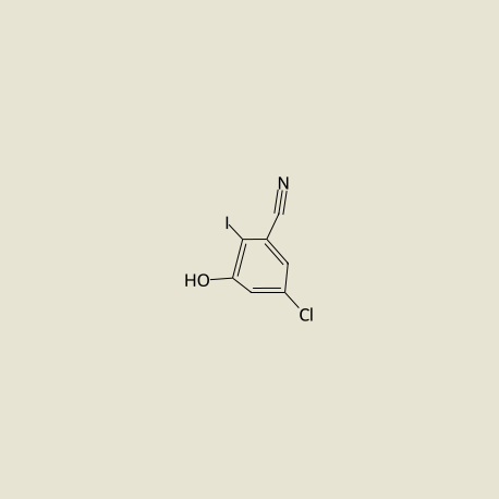 N#Cc1cc(Cl)cc(O)c1I